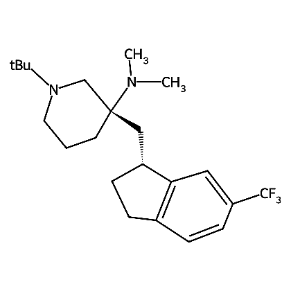 CN(C)[C@]1(C[C@H]2CCc3ccc(C(F)(F)F)cc32)CCCN(C(C)(C)C)C1